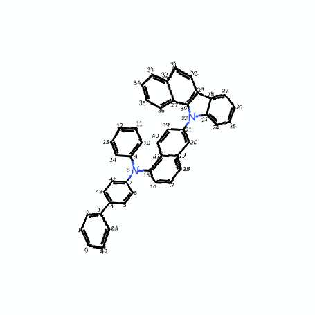 c1ccc(-c2ccc(N(c3ccccc3)c3cccc4cc(-n5c6ccccc6c6ccc7ccccc7c65)ccc34)cc2)cc1